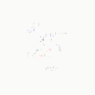 CCN1CCC(C#N)(NC(=O)O)CC1.CO[C@@H]1CC[C@@H](S(=O)(=O)c2ccc(-c3cnn(C)c3)cc2C(F)(F)F)C1